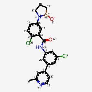 Cc1cc(-c2cc(Cl)cc(NC(=O)c3cc(N4CCC[S+]4[O-])ccc3Cl)c2)ccn1